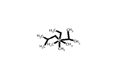 CCS(C)(C)(C)(CC(C)C)C(C)C